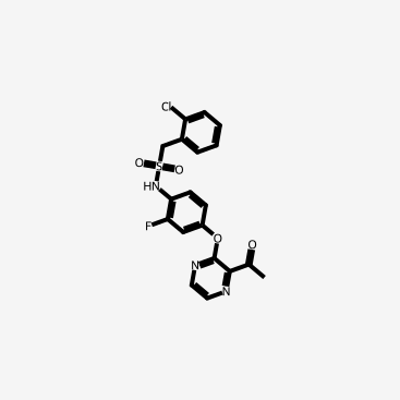 CC(=O)c1nccnc1Oc1ccc(NS(=O)(=O)Cc2ccccc2Cl)c(F)c1